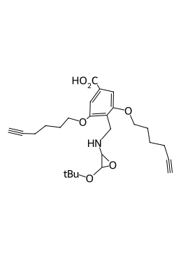 C#CCCCCOc1cc(C(=O)O)cc(OCCCCC#C)c1CNC1OC1OC(C)(C)C